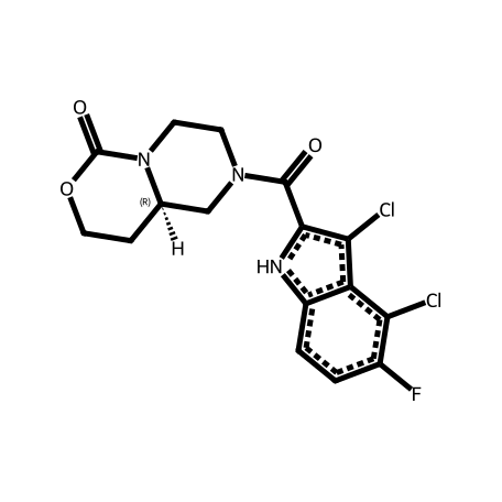 O=C(c1[nH]c2ccc(F)c(Cl)c2c1Cl)N1CCN2C(=O)OCC[C@@H]2C1